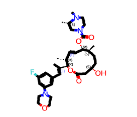 C/C(=C\c1cc(F)cc(N2CCOCC2)c1)[C@@H]1OC(=O)C[C@@H](O)CC[C@H](C)[C@@H](OC(=O)N2CCN(C)[C@@H](C)C2)/C=C/[C@H]1C